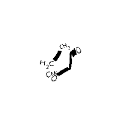 C=C.O=CC=O.[Cu]